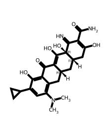 CN(C)c1cc(C2CC2)c(O)c2c1C[C@H]1C[C@H]3CC(O)=C(C(N)=O)C(=N)[C@@]3(O)C(O)=C1C2=O